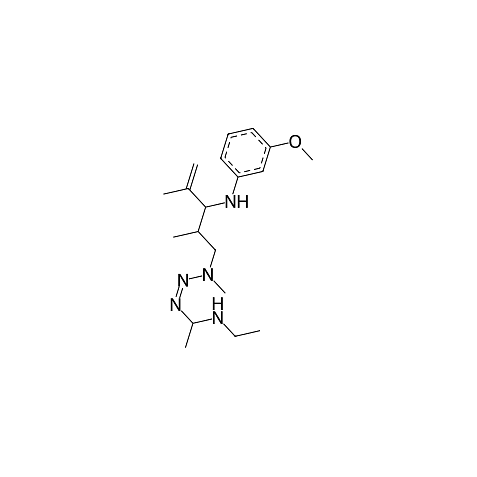 C=C(C)C(Nc1cccc(OC)c1)C(C)CN(C)/N=N\C(C)NCC